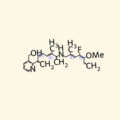 C=C/C(OC)=C(F)\C=C(/C)CNC(=C)/C(C)=C/C=C\C(=C)c1ncccc1CO